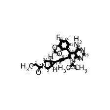 CCC(=O)N1C[C@@H]2C(C#Cc3c(-c4ccc(F)c5c4OCO5)c4c(N)ncnc4n3C(C)C)[C@@H]2C1